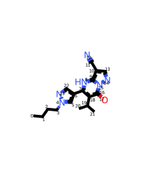 CCCCn1cc(-c2[nH]c3c(C#N)cnn3c(=O)c2C(C)C)cn1